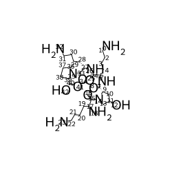 NCCCC[C@H](NC(=O)[C@@H]1C[C@@H](O)CN1C(=O)[C@@H](N)CCCCN)C(=O)N[C@@H](CCCCN)C(=O)N1CCC[C@H]1C(=O)O